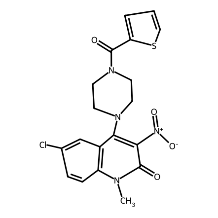 Cn1c(=O)c([N+](=O)[O-])c(N2CCN(C(=O)c3cccs3)CC2)c2cc(Cl)ccc21